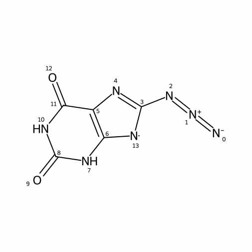 [N-]=[N+]=NC1=Nc2c([nH]c(=O)[nH]c2=O)[N]1